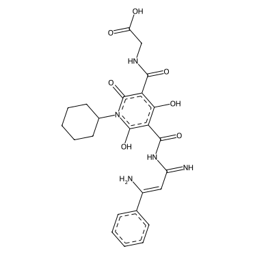 N=C(/C=C(\N)c1ccccc1)NC(=O)c1c(O)c(C(=O)NCC(=O)O)c(=O)n(C2CCCCC2)c1O